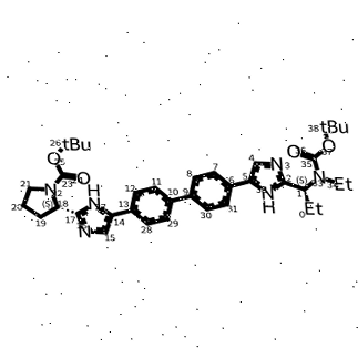 CC[C@@H](c1ncc(-c2ccc(-c3ccc(-c4cnc([C@@H]5CCCN5C(=O)OC(C)(C)C)[nH]4)cc3)cc2)[nH]1)N(CC)C(=O)OC(C)(C)C